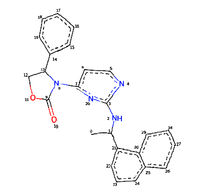 CC(Nc1nccc(N2C(=O)OCC2c2ccccc2)n1)c1cccc2ccccc12